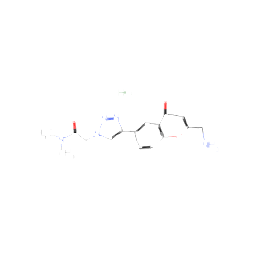 CN(C)C(=O)Cn1cc(-c2ccc3oc(CN)cc(=O)c3c2)nn1.Cl